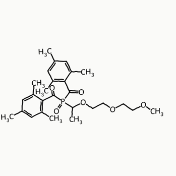 COCCOCCOC(C)P(=O)(C(=O)c1c(C)cc(C)cc1C)C(=O)c1c(C)cc(C)cc1C